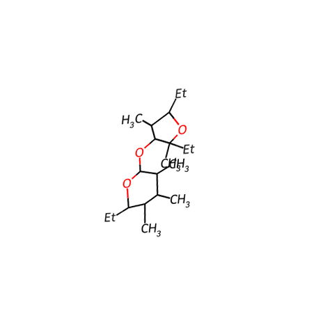 CCC1OC(OC2C(C)C(CC)OC2(C)CC)C(C)C(C)C1C